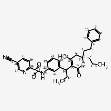 CCC[C@@]1(CCc2ccccc2)CC(O)=C(C(CC)c2cccc(NS(=O)(=O)c3ccc(C#N)cn3)c2)C(=O)O1